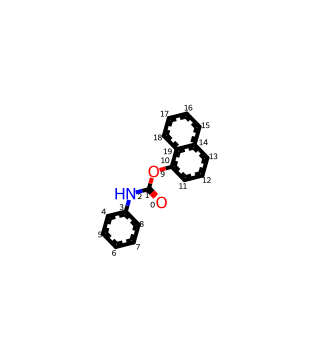 O=C(Nc1ccccc1)Oc1cccc2ccccc12